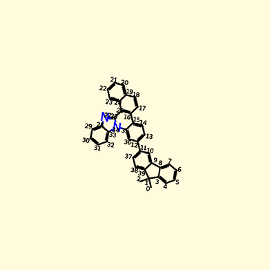 CC1(C)c2ccccc2-c2cc(-c3ccc4c5ccc6ccccc6c5c5nc6ccccc6n5c4c3)ccc21